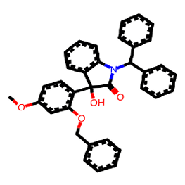 COc1ccc(C2(O)C(=O)N(C(c3ccccc3)c3ccccc3)c3ccccc32)c(OCc2ccccc2)c1